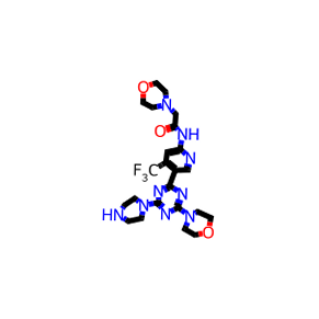 O=C(CN1CCOCC1)Nc1cc(C(F)(F)F)c(-c2nc(N3CCNCC3)nc(N3CCOCC3)n2)cn1